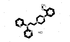 COc1ccccc1N1CCN(CCN(c2ccccn2)c2ccccn2)CC1.Cl